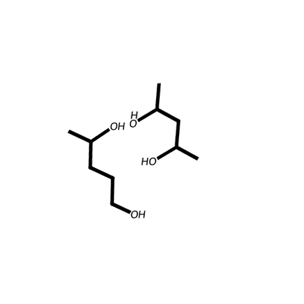 CC(O)CC(C)O.CC(O)CCCO